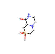 O=C1NCCN2CCS(=O)(=O)CC12